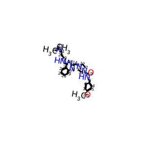 COc1ccc(CNC(=O)N2CCN(Cc3nc(NCCCN(C)C)c4ccccc4n3)CC2)cc1